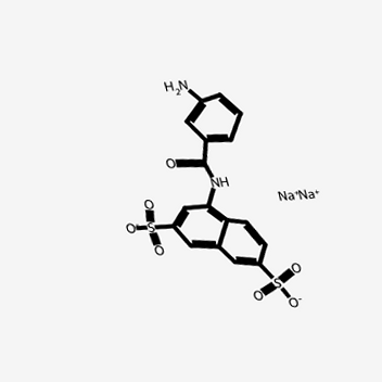 Nc1cccc(C(=O)Nc2cc(S(=O)(=O)[O-])cc3cc(S(=O)(=O)[O-])ccc23)c1.[Na+].[Na+]